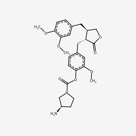 COc1ccc(C[C@H]2COC(=O)[C@@H]2Cc2ccc(OC(=O)N3CC[C@@H](N)C3)c(OC)c2)cc1OC